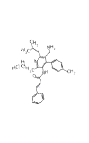 Cc1ccc(-c2c(CN)c(CC(C)C)nc(C)c2NC(=O)/C=C/c2ccccc2)cc1.Cl.Cl